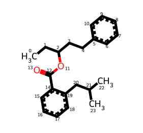 CCC(CCc1ccccc1)OC(=O)c1ccccc1CC(C)C